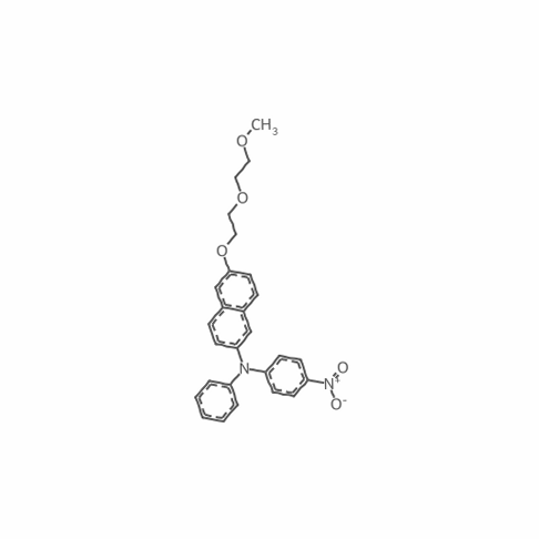 COCCOCCOc1ccc2cc(N(c3ccccc3)c3ccc([N+](=O)[O-])cc3)ccc2c1